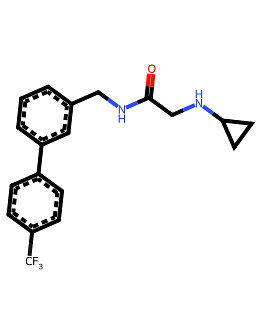 O=C(CNC1CC1)NCc1cccc(-c2ccc(C(F)(F)F)cc2)c1